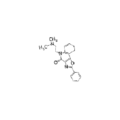 CN(C)CCn1c2c(c3oc(-c4ccccc4)nc3c1=O)CCC=C2